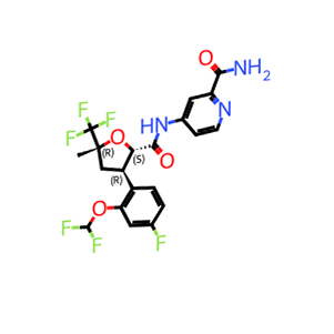 C[C@]1(C(F)(F)F)C[C@H](c2ccc(F)cc2OC(F)F)[C@@H](C(=O)Nc2ccnc(C(N)=O)c2)O1